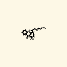 NCCNCc1nn2c3ccccc3c(=O)c3c(O)ccc1c32